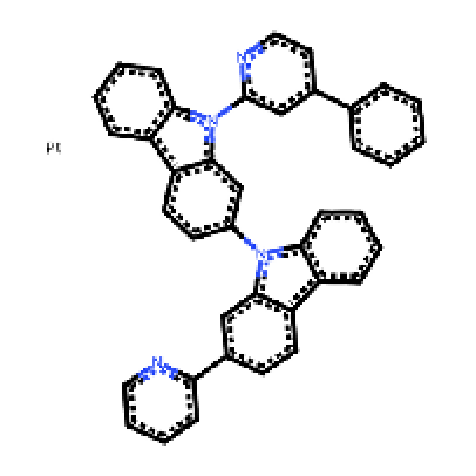 [Pt].c1ccc(-c2ccnc(-n3c4ccccc4c4ccc(-n5c6ccccc6c6ccc(-c7ccccn7)cc65)cc43)c2)cc1